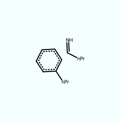 CCCC=N.CCCc1ccccc1